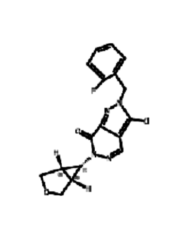 O=c1c2nn(Cc3ccccc3F)c(Cl)c2cnn1[C@@H]1[C@@H]2COC[C@@H]21